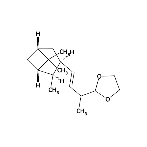 CC(C=C[C@@H]1C[C@H]2C[C@@H]([C@@H]1C)C2(C)C)C1OCCO1